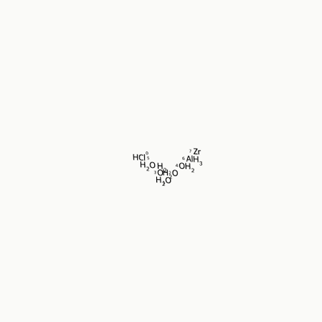 Cl.O.O.O.O.O.[AlH3].[Zr]